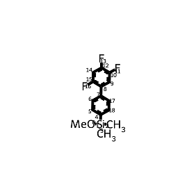 CO[Si](C)(C)c1ccc(-c2cc(F)c(F)cc2F)cc1